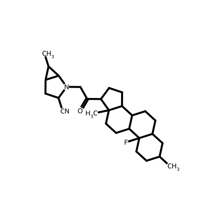 CC1CCC2(F)C(CCC3C4CCC(C(=O)CN5C(C#N)CC6C(C)C65)C4(C)CCC32)C1